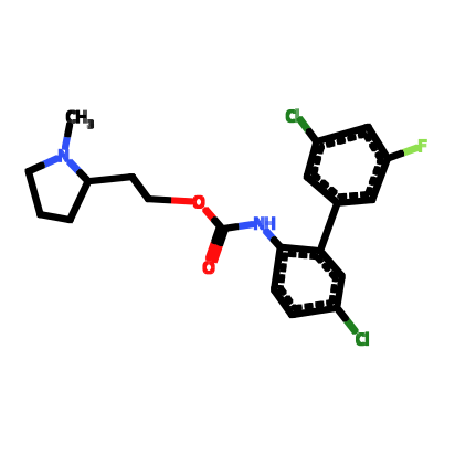 CN1CCCC1CCOC(=O)Nc1ccc(Cl)cc1-c1cc(F)cc(Cl)c1